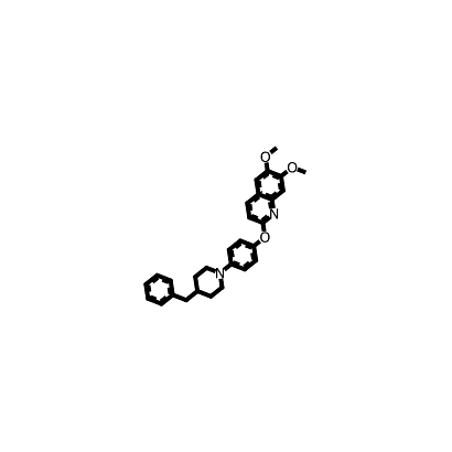 COc1cc2ccc(Oc3ccc(N4CCC(Cc5ccccc5)CC4)cc3)nc2cc1OC